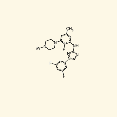 Cc1cc(Nc2ncn(-c3cc(F)cc(F)c3)n2)c(F)c(N2CCN(C(C)C)CC2)c1